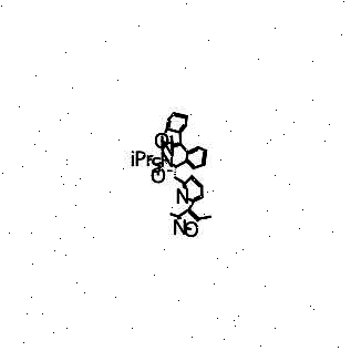 Cc1noc(C)c1-c1cccc(C[C@H](N[S+]([O-])C(C)C)c2ccccc2-c2noc3ccccc23)n1